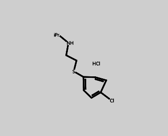 CC(C)NCCSc1ccc(Cl)cc1.Cl